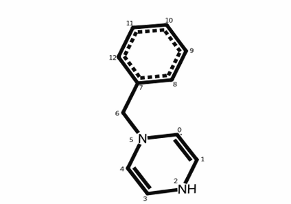 [C]1=CNC=CN1Cc1ccccc1